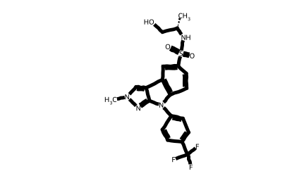 C[C@@H](CO)NS(=O)(=O)c1ccc2c(c1)c1cn(C)nc1n2-c1ccc(C(F)(F)F)cc1